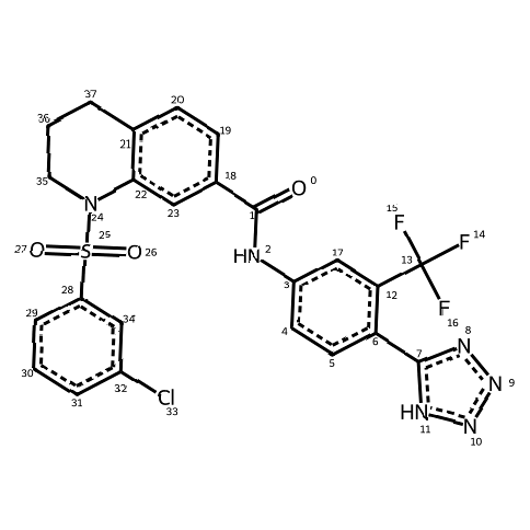 O=C(Nc1ccc(-c2nnn[nH]2)c(C(F)(F)F)c1)c1ccc2c(c1)N(S(=O)(=O)c1cccc(Cl)c1)CCC2